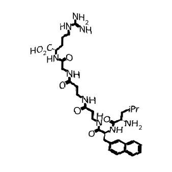 CC(C)C[C@H](N)C(=O)N[C@@H](Cc1ccc2ccccc2c1)C(=O)NCCC(=O)NCCC(=O)NCC(=O)N[C@@H](CCCNC(=N)N)C(=O)O